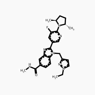 CCn1ccc(Cn2c(-c3cnc(N4[C@@H](C)CC[C@@H]4C)c(F)c3)nc3cc(C(=O)NC)ccc32)n1